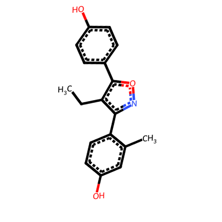 CCc1c(-c2ccc(O)cc2C)noc1-c1ccc(O)cc1